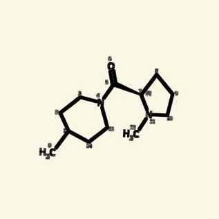 CC1CCN(C(=O)[C@H]2CCCN2C)CC1